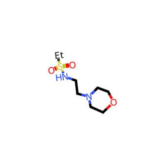 CCS(=O)(=O)NCCN1CCOCC1